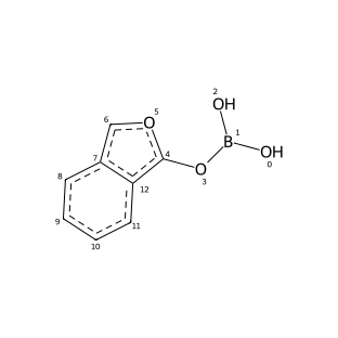 OB(O)Oc1occ2ccccc12